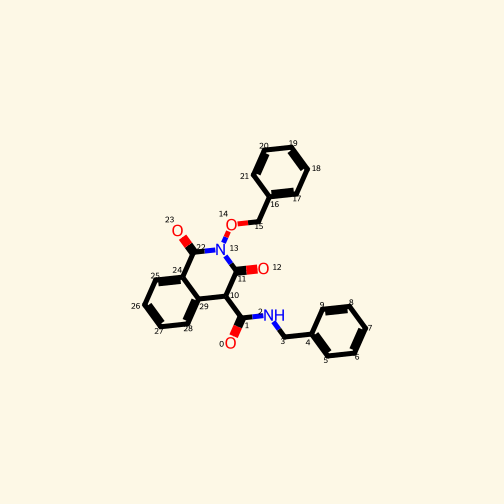 O=C(NCc1ccccc1)C1C(=O)N(OCc2ccccc2)C(=O)c2ccccc21